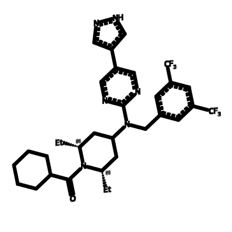 CC[C@@H]1CC(N(Cc2cc(C(F)(F)F)cc(C(F)(F)F)c2)c2ncc(-c3cn[nH]c3)cn2)C[C@H](CC)N1C(=O)C1CCCCC1